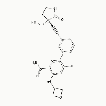 NC(=O)c1nc(-c2cccc(C#C[C@@]3(CO)CCNC3=O)c2)c(F)cc1NC1COC1